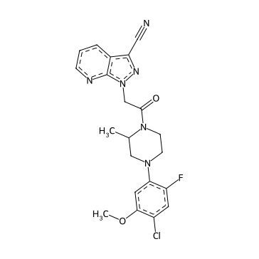 COc1cc(N2CCN(C(=O)Cn3nc(C#N)c4cccnc43)C(C)C2)c(F)cc1Cl